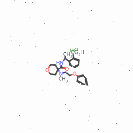 CC(NC(=O)C1(N(C)CCOc2ccccc2)CCOCC1)c1ccccc1C(=O)O.Cl